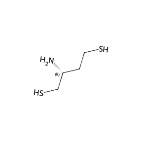 N[C@@H](CS)CCS